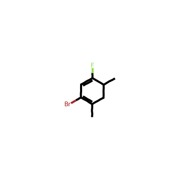 CC1=C(Br)C=C(F)C(C)C1